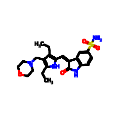 CCc1[nH]c(/C=C2\C(=O)Nc3ccc(S(N)(=O)=O)cc32)c(CC)c1CN1CCOCC1